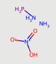 N.NP.O=[N+]([O-])O